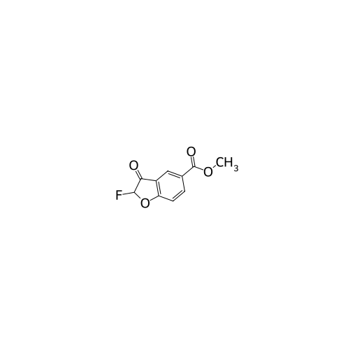 COC(=O)c1ccc2c(c1)C(=O)C(F)O2